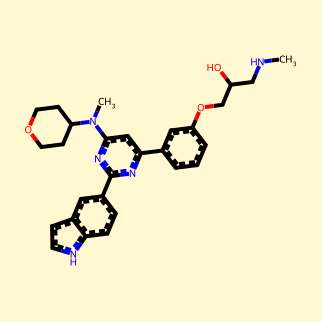 CNCC(O)COc1cccc(-c2cc(N(C)C3CCOCC3)nc(-c3ccc4[nH]ccc4c3)n2)c1